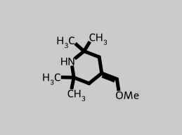 COC=C1CC(C)(C)NC(C)(C)C1